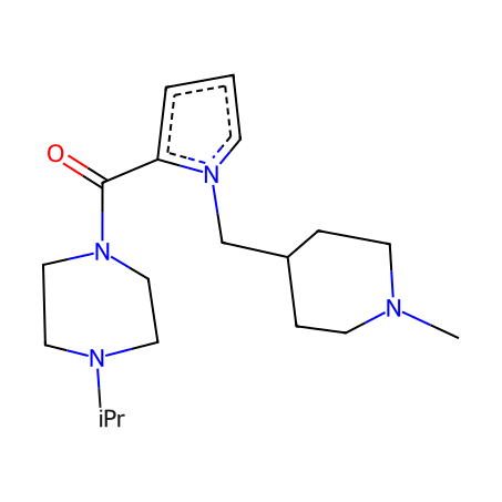 CC(C)N1CCN(C(=O)c2cccn2CC2CCN(C)CC2)CC1